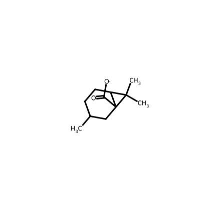 CC1CCC2C(C)(C)C2(C([O])=O)C1